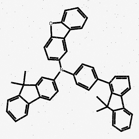 CC1(C)c2ccccc2-c2ccc(N(c3ccc(-c4cccc5c4C(C)(C)c4ccccc4-5)cc3)c3ccc4oc5ccccc5c4c3)cc21